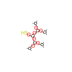 Cc1cc(C)cc(COc2cc(COc3cc(COCS)cc(OCc4cc(OCc5cc(C)cc(C)c5)cc(OCc5cc(C)cc(C)c5)c4)c3)cc(OCc3cc(C)cc(C)c3)c2)c1